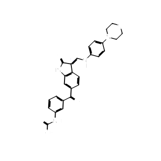 CC(=O)Nc1cccc(C(=O)c2ccc3c(c2)NC(=O)/C3=C/Nc2ccc(N3CCOCC3)cc2)c1